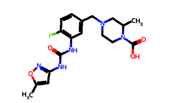 Cc1cc(NC(=O)Nc2cc(CN3CCN(C(=O)O)C(C)C3)ccc2F)no1